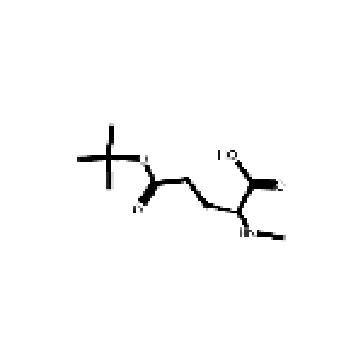 CN[C@@H](CCC(=O)OC(C)(C)C)C(=O)O